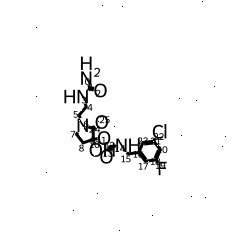 NC(=O)NCCN1CC[C@](O)(OC(=O)NCc2cc(F)cc(Cl)c2)C1=O